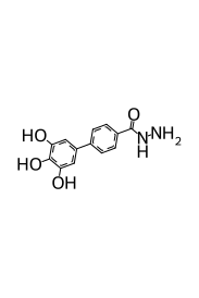 NNC(=O)c1ccc(-c2cc(O)c(O)c(O)c2)cc1